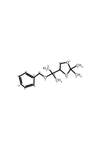 CC1(C)OCC(C(C)(C)OCc2ccccc2)O1